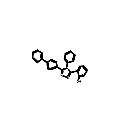 Oc1ccccc1-c1nnc(-c2ccc(-c3ccccc3)cc2)n1-c1ccccc1